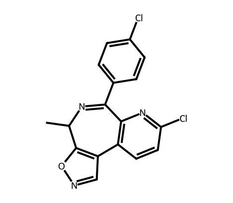 CC1N=C(c2ccc(Cl)cc2)c2nc(Cl)ccc2-c2cnoc21